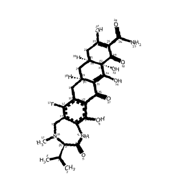 CC(C)[C@@H]1C(=O)Nc2c(O)c3c(c(F)c2CN1C)C[C@H]1C[C@H]2CC(O)=C(C(N)=O)C(=O)[C@@]2(O)C(O)=C1C3=O